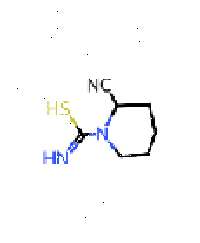 N#CC1CCCCN1C(=N)S